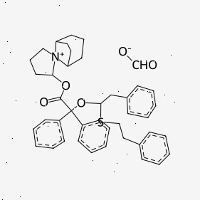 O=C(OC1CCC[N+]12C1CCCC2CC1)C(OC(Cc1ccccc1)SCCc1ccccc1)(c1ccccc1)c1ccccc1.O=C[O-]